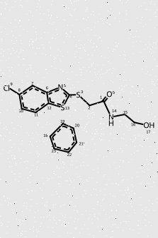 O=C(CSc1nc2cc(Cl)ccc2s1)NCCO.c1ccccc1